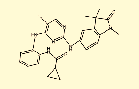 CN1C(=O)C(C)(C)c2cc(Nc3ncc(F)c(Nc4ccccc4NC(=O)C4CC4)n3)ccc21